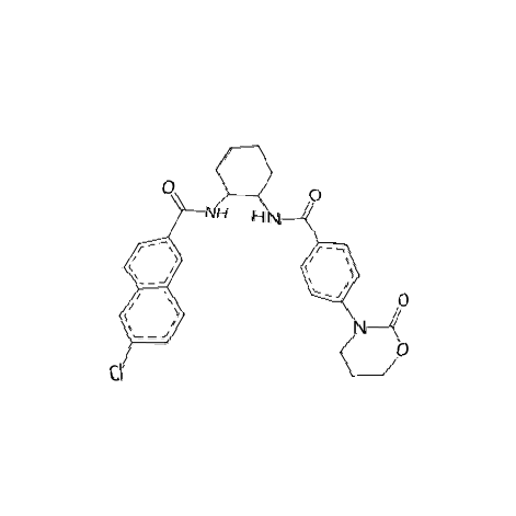 O=C(NC1CCCCC1NC(=O)c1ccc2cc(Cl)ccc2c1)c1ccc(N2CCCOC2=O)cc1